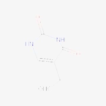 O=CCc1c[nH]c(=O)[nH]c1=O